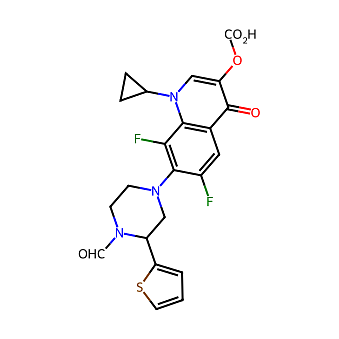 O=CN1CCN(c2c(F)cc3c(=O)c(OC(=O)O)cn(C4CC4)c3c2F)CC1c1cccs1